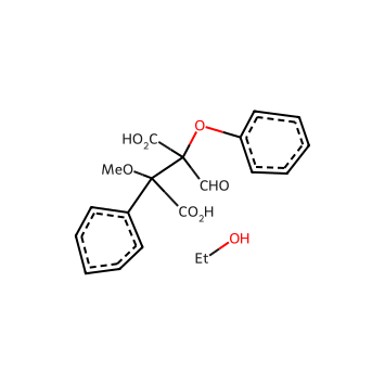 CCO.COC(C(=O)O)(c1ccccc1)C(C=O)(Oc1ccccc1)C(=O)O